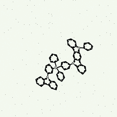 c1ccc(-n2c3ccccc3c3cc4c(cc32)c2ccccc2n4-c2ccc([Si](c3ccccc3)(c3ccccc3)c3cccc(-n4c5ccccc5c5ccccc54)c3)cc2)cc1